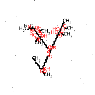 C=CC(=O)OC(CCCCCCCC)C(O)CCCCCCCC(=O)OCC(COC(=O)CCCCCCCC(OC(=O)C=C)C(O)CC(O)C(CCCCC)OC(=O)C=C)OC(=O)CCCCCCCC(O)C(CC(O)C(CC(O)C(CC)C(O)C(=O)C=C)OC(=O)C=C)OC(=O)C=C